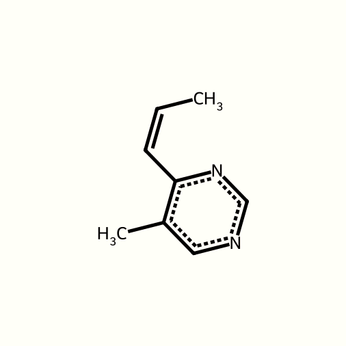 C/C=C\c1ncncc1C